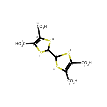 O=C(O)C1=C(C(=O)O)SC(C2SC(C(=O)O)=C(C(=O)O)S2)S1